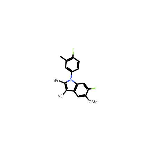 COc1cc2c(C#N)c(C(C)C)n(-c3ccc(F)c(C)c3)c2cc1F